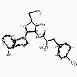 Nc1ncnc2c1ncn2C1OC(CO)C(O)C1NC(=O)C(N)Cc1ccc(O)cc1